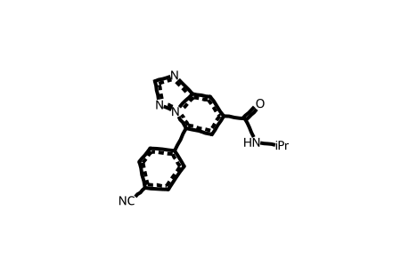 CC(C)NC(=O)c1cc(-c2ccc(C#N)cc2)n2ncnc2c1